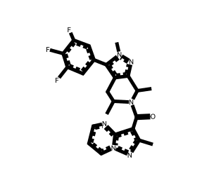 Cc1nn2cccnc2c1C(=O)N1C(C)Cc2c(nn(C)c2-c2cc(F)c(F)c(F)c2)C1C